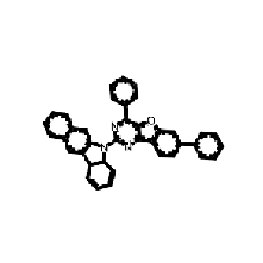 C1=CC2c3cc4ccccc4cc3N(c3nc(-c4ccccc4)c4oc5cc(-c6ccccc6)ccc5c4n3)C2C=C1